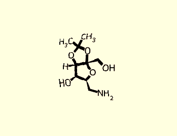 CC1(C)O[C@H]2[C@H](O)[C@H](CN)O[C@@]2(CO)O1